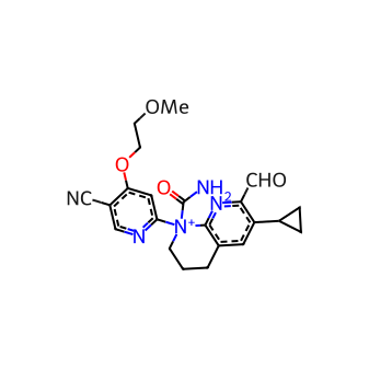 COCCOc1cc([N+]2(C(N)=O)CCCc3cc(C4CC4)c(C=O)nc32)ncc1C#N